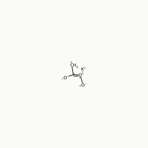 CC([O-])=[O+][O-].[K+]